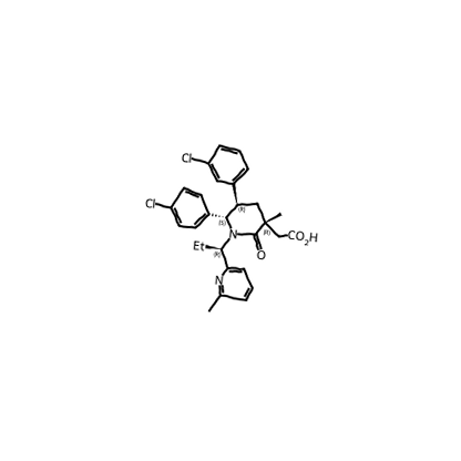 CC[C@H](c1cccc(C)n1)N1C(=O)[C@@](C)(CC(=O)O)C[C@H](c2cccc(Cl)c2)[C@H]1c1ccc(Cl)cc1